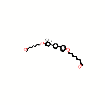 Cc1cc(C2CCC(c3ccc(OCCCCCCC4CO4)cc3)CC2)ccc1OCCCCCCC1CO1